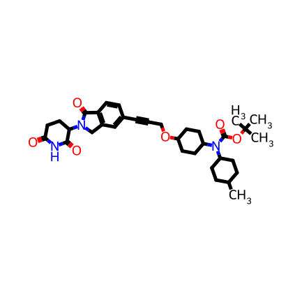 CC1CCC(N(C(=O)OC(C)(C)C)C2CCC(OCC#Cc3ccc4c(c3)CN(C3CCC(=O)NC3=O)C4=O)CC2)CC1